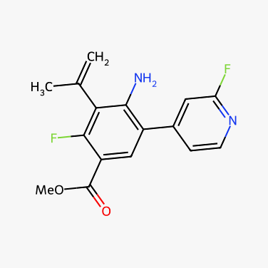 C=C(C)c1c(N)c(-c2ccnc(F)c2)cc(C(=O)OC)c1F